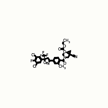 CCOC(=O)OCN(CC1(C#N)CC1)C(=O)c1ccc(C2=NO[C@@](c3cc(Cl)c(F)c(Cl)c3)(C(F)(F)F)C2)cc1C